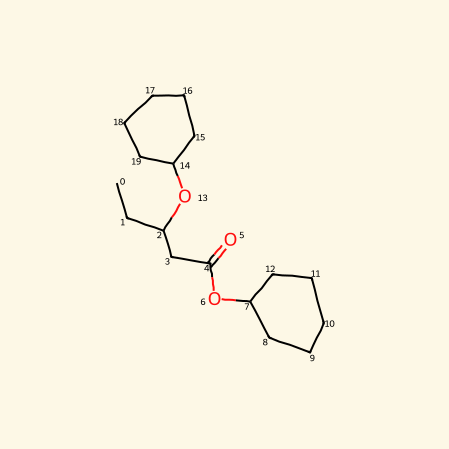 CCC(CC(=O)OC1CCCCC1)OC1CCCCC1